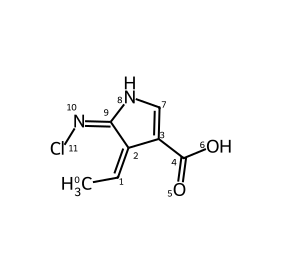 C/C=C1/C(C(=O)O)=CN/C1=N/Cl